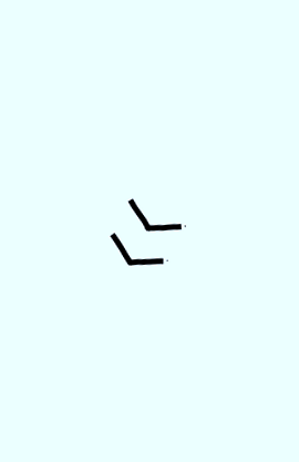 [CH2]CC.[CH2]CC